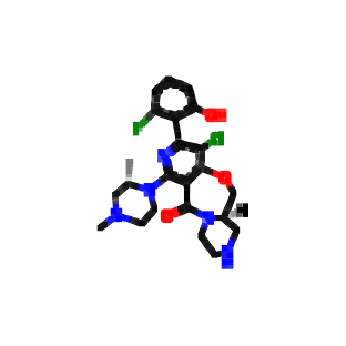 C[C@H]1CN(C)CCN1c1nc(-c2c(O)cccc2F)c(Cl)c2c1C(=O)N1CCNC[C@@H]1CO2